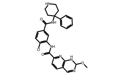 COC1N=Cc2ccc(C(=O)Nc3cc(C(=O)NC4(c5ccccc5)CCNCC4)ccc3Cl)nc2N1